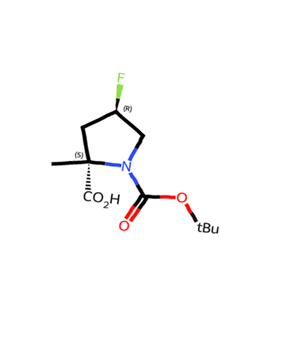 CC(C)(C)OC(=O)N1C[C@H](F)C[C@@]1(C)C(=O)O